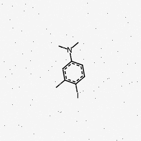 Cc1cc(N(C)C)ccc1I